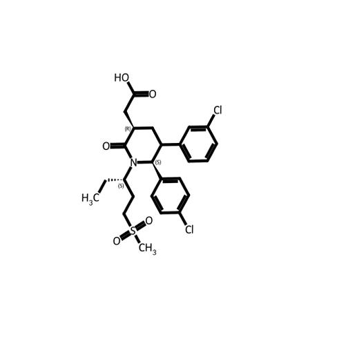 CC[C@@H](CCS(C)(=O)=O)N1C(=O)[C@@H](CC(=O)O)CC(c2cccc(Cl)c2)[C@H]1c1ccc(Cl)cc1